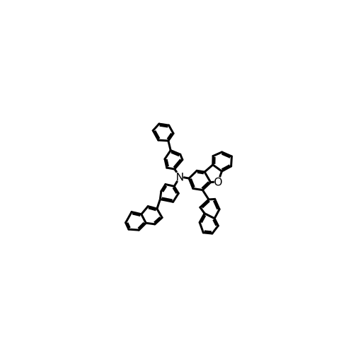 c1ccc(-c2ccc(N(c3ccc(-c4ccc5ccccc5c4)cc3)c3cc(-c4ccc5ccccc5c4)c4oc5ccccc5c4c3)cc2)cc1